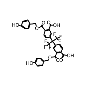 O=C(O)c1cc(C(c2ccc(C(=O)O)c(C(=O)OCc3ccc(O)cc3)c2)(C(F)(F)F)C(F)(F)F)ccc1C(=O)OCc1ccc(O)cc1